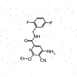 CCOc1nc(C(=O)NCc2cc(F)ccc2F)cc(N)c1C#N